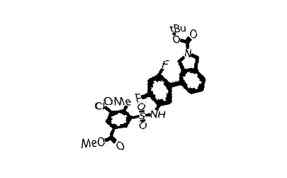 COC(=O)c1cc(Cl)c(OC)c(S(=O)(=O)Nc2cc(-c3cccc4c3CN(C(=O)OC(C)(C)C)C4)c(F)cc2F)c1